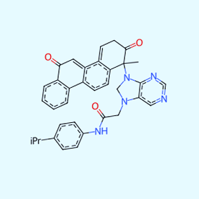 CC(C)c1ccc(NC(=O)CN2CN(C3(C)C(=O)CC=c4c3ccc3c4=CC(=O)c4ccccc4-3)c3ncncc32)cc1